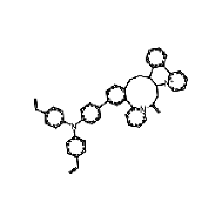 C=Cc1ccc(N(c2ccc(C=C)cc2)c2ccc(-c3ccc4c(c3)-c3cccc[n+]3C(=C)CC3C(CC4)c4ccccc4-c4cccc[n+]43)cc2)cc1